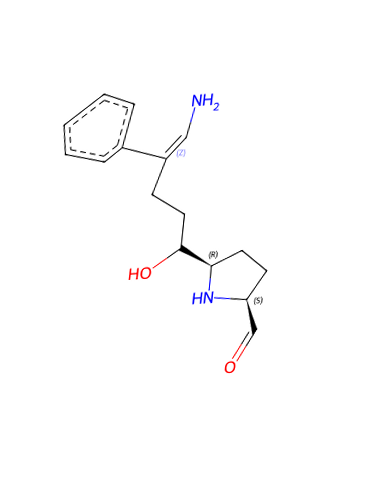 N/C=C(/CCC(O)[C@H]1CC[C@@H](C=O)N1)c1ccccc1